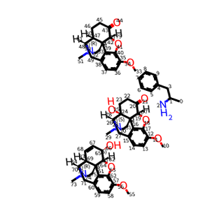 CC(N)Cc1ccccc1.COc1ccc2c3c1O[C@H]1C(=O)CC[C@@]4(O)[C@@H](C2)N(C)CC[C@]314.COc1ccc2c3c1O[C@H]1C(=O)CC[C@H]4[C@@H](C2)N(C)CC[C@]314.COc1ccc2c3c1O[C@H]1[C@@H](O)C=C[C@H]4[C@@H](C2)N(C)CC[C@@]341